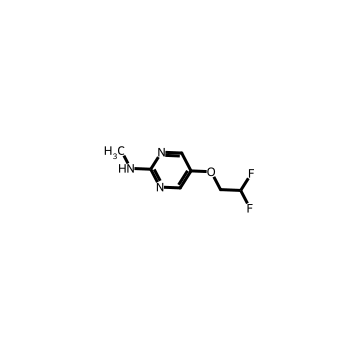 CNc1ncc(OCC(F)F)cn1